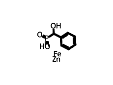 O=[PH](O)C(O)c1ccccc1.[Fe].[Zn]